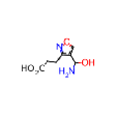 NC(O)c1conc1CCC(=O)O